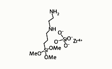 CO[Si](CCCNCCN)(OC)OC.[O-][Si]([O-])([O-])[O-].[Zr+4]